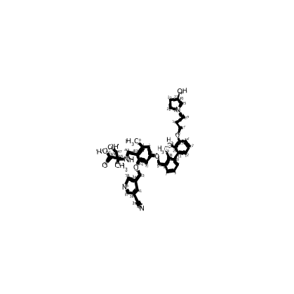 Cc1cc(OCc2cccc(-c3cccc(OCCCN4CC[C@@H](O)C4)c3C)c2C)cc(OCc2cncc(C#N)c2)c1CNC(C)(CO)C(=O)O